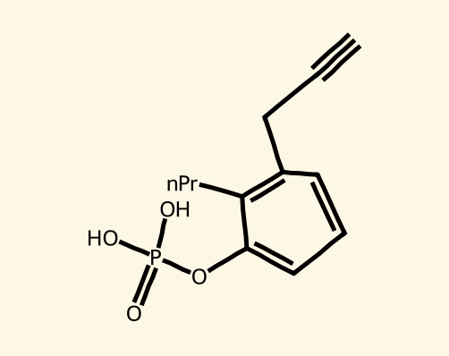 C#CCc1cccc(OP(=O)(O)O)c1CCC